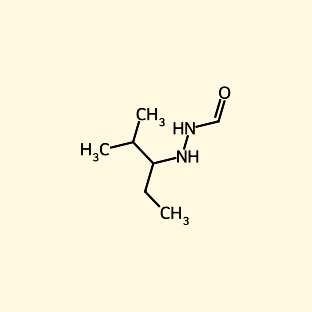 CCC(NNC=O)C(C)C